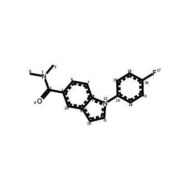 CN(C)C(=O)c1ccc2c(ccn2-c2ccc(F)cc2)c1